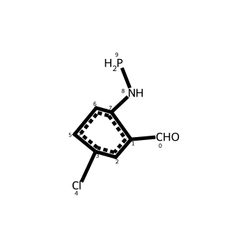 O=Cc1cc(Cl)ccc1NP